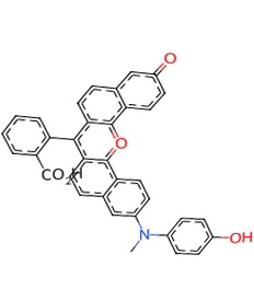 CN(c1ccc(O)cc1)c1ccc2c(ccc3c(-c4ccccc4C(=O)O)c4ccc5cc(=O)ccc5c4oc32)c1